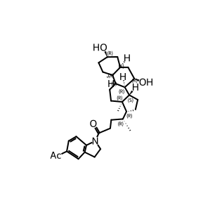 CC(=O)c1ccc2c(c1)CCN2C(=O)CC[C@@H](C)[C@H]1CC[C@H]2[C@@H]3[C@H](O)C[C@@H]4C[C@H](O)CC[C@]4(C)[C@H]3CC[C@]12C